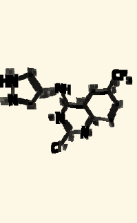 FC(F)(F)c1ccc2nc(Cl)nc(Nc3cn[nH]c3)c2c1